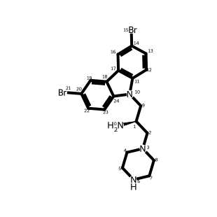 N[C@H](CN1CCNCC1)Cn1c2ccc(Br)cc2c2cc(Br)ccc21